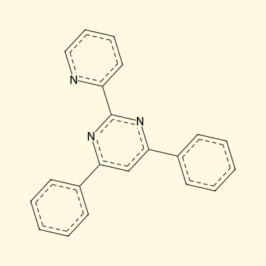 c1ccc(-c2cc(-c3ccccc3)nc(-c3ccccn3)n2)cc1